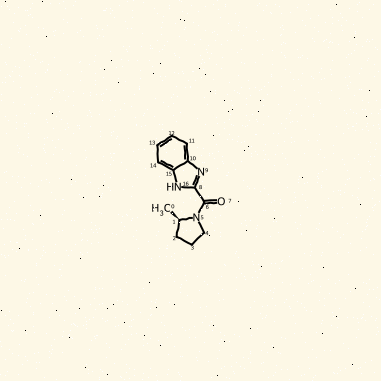 C[C@@H]1CCCN1C(=O)c1nc2ccccc2[nH]1